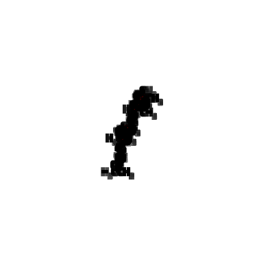 C=C(C)C(=O)Cc1ccc(-c2ccc(-c3ccc4c(c3)C3(c5cc(-c6cc7sc(-c8ccc9c(c8)C8(c%10cc(C)ccc%10-9)C(CC)(CC)CCCC8(CC)CC)cc7s6)ccc5-4)C(C)(C)CCCC3(C)C)s2)cc1